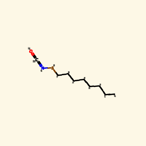 CCCCCCCCSN=C=O